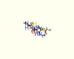 CCc1ccc[nH]c2cc(C(=O)NC/C(S)=C/NC)ccc2s1